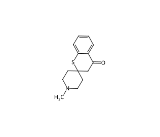 CN1CCC2(CC1)CC(=O)c1ccccc1S2